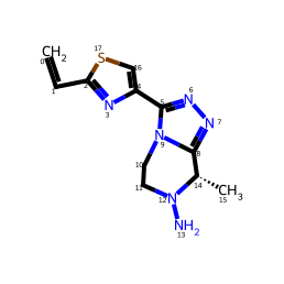 C=Cc1nc(-c2nnc3n2CCN(N)[C@H]3C)cs1